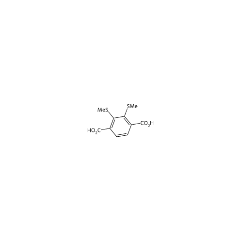 CSc1c(C(=O)O)ccc(C(=O)O)c1SC